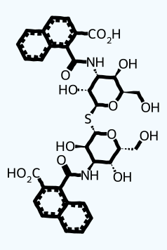 O=C(O)c1ccc2ccccc2c1C(=O)N[C@@H]1[C@@H](O)[C@@H](CO)O[C@@H](S[C@@H]2O[C@H](CO)[C@H](O)[C@@H](NC(=O)c3c(C(=O)O)ccc4ccccc34)[C@H]2O)[C@@H]1O